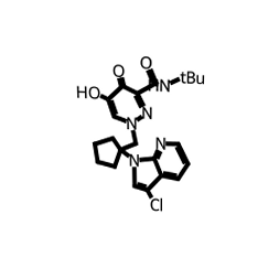 CC(C)(C)NC(=O)c1nn(CC2(n3cc(Cl)c4cccnc43)CCCC2)cc(O)c1=O